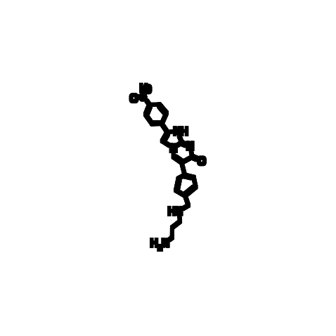 NCCCNCc1ccc(-c2cn3cc(-c4ccc([SH](=O)=O)cc4)[nH]c3nc2=O)cc1